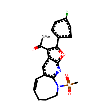 CNC(=O)c1c(-c2ccc(F)cc2)oc2nc3c(cc12)C=CCCCN3S(C)(=O)=O